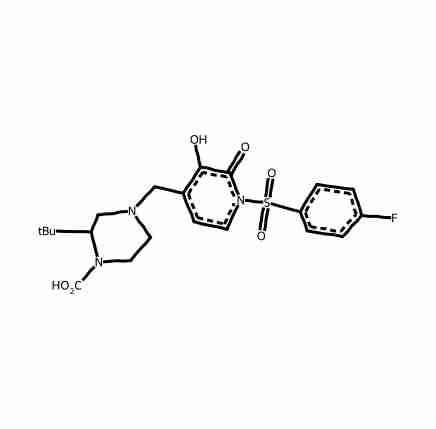 CC(C)(C)C1CN(Cc2ccn(S(=O)(=O)c3ccc(F)cc3)c(=O)c2O)CCN1C(=O)O